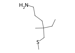 CCC(C)(CCCN)CSC